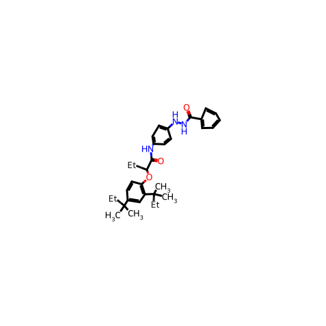 CCC(Oc1ccc(C(C)(C)CC)cc1C(C)(C)CC)C(=O)Nc1ccc(NNC(=O)c2ccccc2)cc1